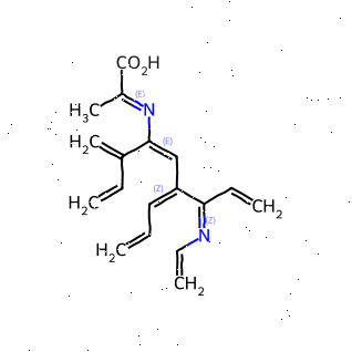 C=C/C=C(/C=C(/N=C(\C)C(=O)O)C(=C)C=C)C(\C=C)=N/C=C